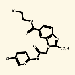 O=C(Cn1c(C(=O)O)nc2ccc(C(=O)NCCO)cc21)Nc1ccc(Cl)cn1